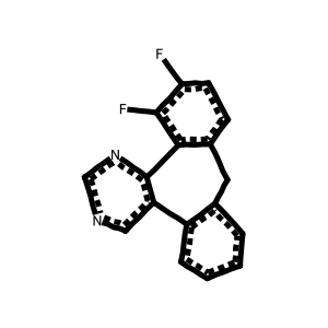 Fc1ccc2c(c1F)-c1ncncc1-c1ccccc1C2